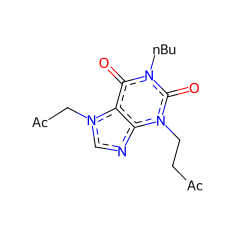 CCCCn1c(=O)c2c(ncn2CC(C)=O)n(CCC(C)=O)c1=O